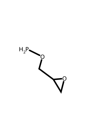 POCC1CO1